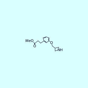 COC(=O)CCc1cccc(OCC2CNC2)c1